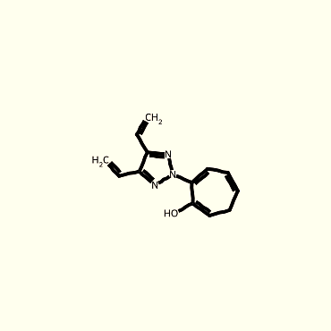 C=Cc1nn(C2=CC=CCC=C2O)nc1C=C